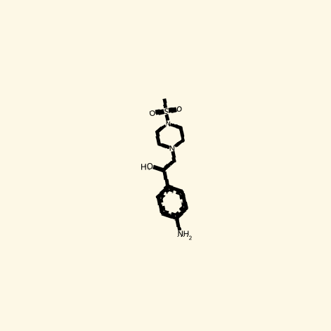 CS(=O)(=O)N1CCN(CC(O)c2ccc(N)cc2)CC1